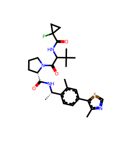 Cc1cc(-c2scnc2C)ccc1[C@H](C)NC(=O)[C@@H]1CCCN1C(=O)C(NC(=O)C1(F)CC1)C(C)(C)C